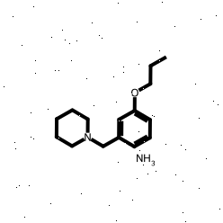 CCCOc1cccc(CN2CCCCC2)c1.N